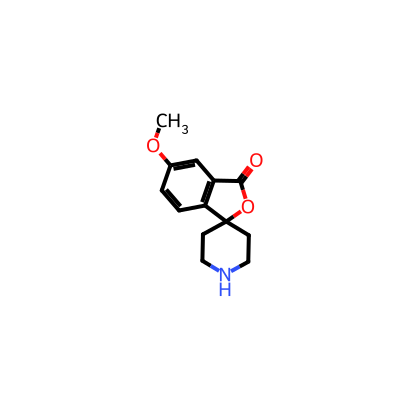 COc1ccc2c(c1)C(=O)OC21CCNCC1